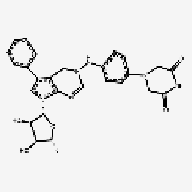 C[C@H]1O[C@@H](n2cc(-c3ccccc3)c3c2N=CN(Nc2ccc(N4CC(=O)NC(=O)C4)cc2)C3)[C@H](O)[C@@H]1O